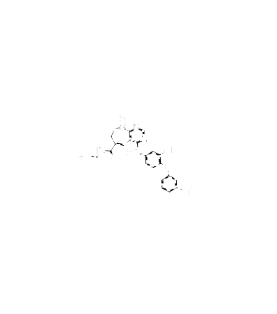 CC(C)CNC(=O)C1=Cc2c(ncnc2Nc2ccc(Oc3cccc(C(F)(F)F)c3)c(Cl)c2)NCC1